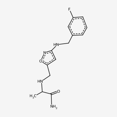 CC(NCc1cc(NCc2cccc(F)c2)no1)C(N)=O